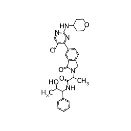 CC(O)C(NC(=O)C(C)N1Cc2ccc(-c3nc(NC4CCOCC4)ncc3Cl)cc2C1=O)c1ccccc1